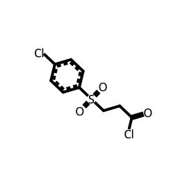 O=C(Cl)CCS(=O)(=O)c1ccc(Cl)cc1